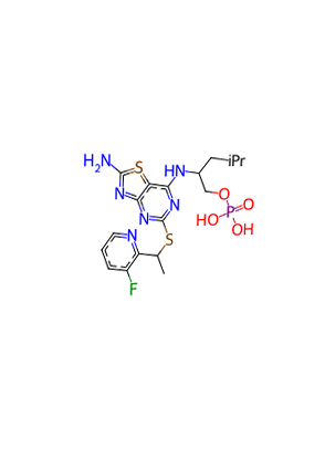 CC(C)CC(COP(=O)(O)O)Nc1nc(SC(C)c2ncccc2F)nc2nc(N)sc12